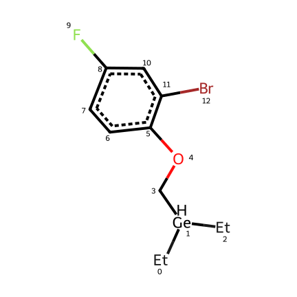 C[CH2][GeH]([CH2]C)[CH2]Oc1ccc(F)cc1Br